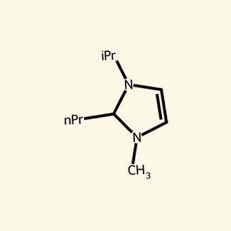 CCCC1N(C)C=CN1C(C)C